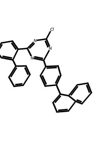 Clc1nc(-c2ccc(-c3cccc4ccccc34)cc2)nc(-c2ccccc2-c2ccccc2)n1